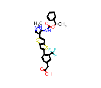 C[C@@H](OC(=O)Nc1c(-c2cc3sc(-c4ccc(CC(=O)O)cc4C(F)(F)F)cc3s2)cnn1C)c1ccccc1